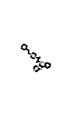 CC(Nc1c(-c2ccccc2)nc2cnccn12)C(=O)N1CCN(CCC2CCCCC2)CC1